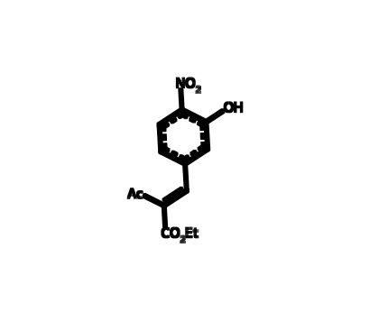 CCOC(=O)C(=Cc1ccc([N+](=O)[O-])c(O)c1)C(C)=O